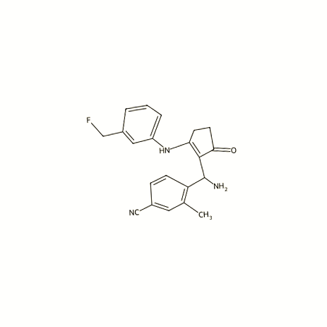 Cc1cc(C#N)ccc1C(N)C1=C(Nc2cccc(CF)c2)CCC1=O